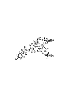 Cc1ccc(S(=O)(=O)NN=C2CC[C@H]3[C@H](CNC(=O)O)[C@@H]([C@@]4(C)CC[C@H](O[Si](C)(C)C(C)(C)C)C[C@@H]4CO[Si](C)(C)C(C)(C)C)CC[C@]23C)cc1